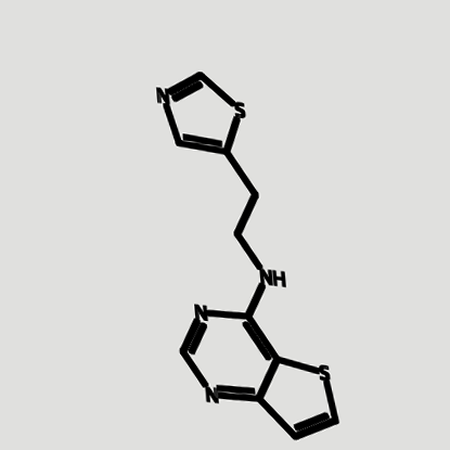 c1nc(NCCc2cncs2)c2sccc2n1